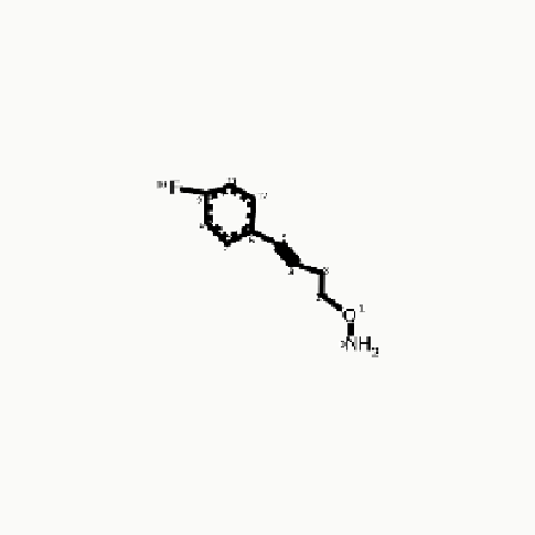 NOCCC#Cc1ccc(F)cc1